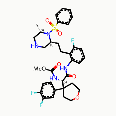 COC(=O)N[C@H](C(=O)Nc1cccc(F)c1CC[C@H]1CNC[C@H](C)N1S(=O)(=O)c1ccccc1)C1(c2ccc(F)c(F)c2)CCOCC1